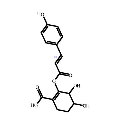 O=C(/C=C/c1ccc(O)cc1)OC1=C(C(=O)O)CCC(O)C1O